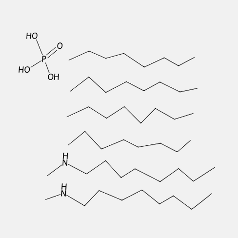 CCCCCCCC.CCCCCCCC.CCCCCCCC.CCCCCCCC.CCCCCCCCNC.CCCCCCCCNC.O=P(O)(O)O